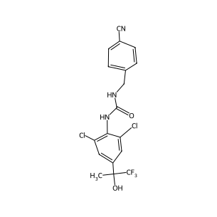 CC(O)(c1cc(Cl)c(NC(=O)NCc2ccc(C#N)cc2)c(Cl)c1)C(F)(F)F